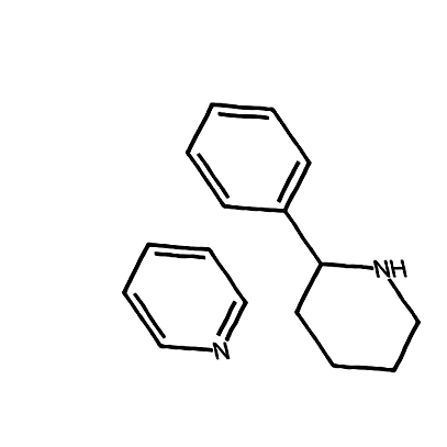 c1ccc(C2CCCCN2)cc1.c1ccncc1